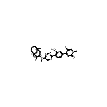 CN(c1cnc(-c2ccc(-c3nc(=O)n(C)cc3F)cc2O)nn1)[C@@H]1C[C@@]2(C)CCC[C@](C)(C2)[C@@H]1F